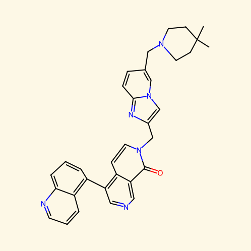 CC1(C)CCN(Cc2ccc3nc(Cn4ccc5c(-c6cccc7ncccc67)cncc5c4=O)cn3c2)CC1